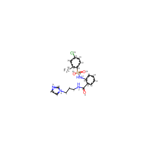 O=C(NCCCn1ccnc1)c1ccccc1NS(=O)(=O)c1ccc(Cl)cc1C(F)(F)F